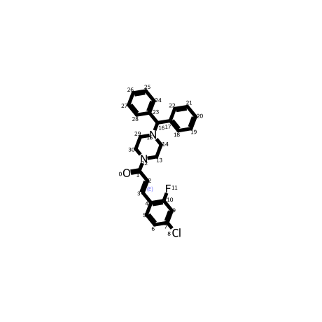 O=C(/C=C/c1ccc(Cl)cc1F)N1CCN(C(c2ccccc2)c2ccccc2)CC1